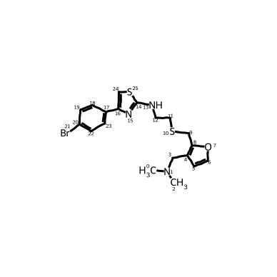 CN(C)Cc1ccoc1CSCCNc1nc(-c2ccc(Br)cc2)cs1